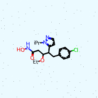 CCOC(CC(=O)NO)C(Cc1ccc(Cl)cc1)c1ccnn1C(C)C